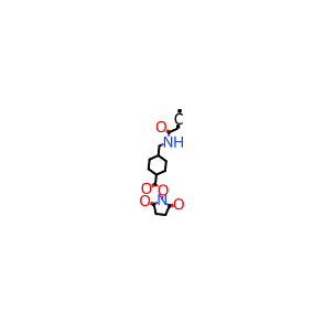 C=C=CC(=O)NCC1CCC(C(=O)ON2C(=O)CCC2=O)CC1